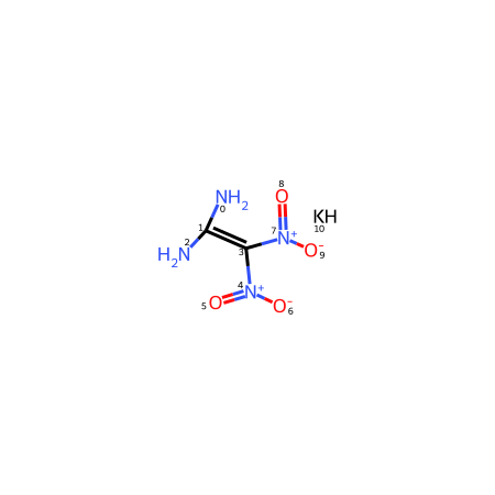 NC(N)=C([N+](=O)[O-])[N+](=O)[O-].[KH]